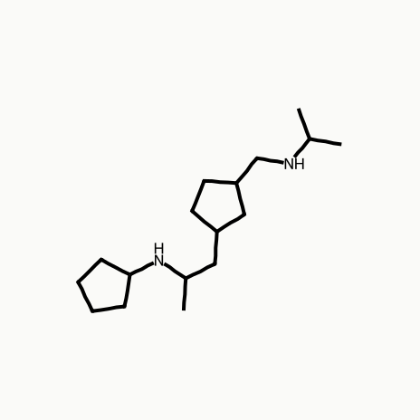 CC(C)NCC1CCC(CC(C)NC2CCCC2)C1